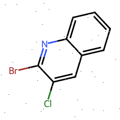 Clc1cc2ccccc2nc1Br